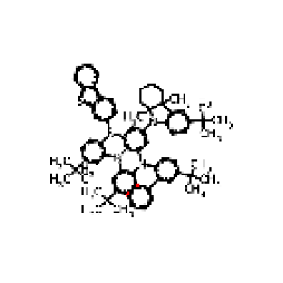 CC(C)(C)c1ccc2c(c1)B1c3cc(C(C)(C)C)ccc3N(c3ccc(C(C)(C)C)cc3-c3ccccc3)c3cc(N4c5ccc(C(C)(C)C)cc5C5(C)CCCCC45C)cc(c31)N2c1ccc2c(c1)sc1ccccc12